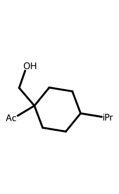 CC(=O)C1(CO)CCC(C(C)C)CC1